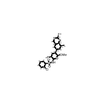 COc1nc(NS(=O)(=O)c2ccccc2Cl)c(F)cc1-c1cc(C)c2nc(F)ncc2c1